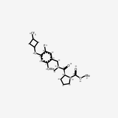 COc1nc(OC2CC(C(F)(F)F)C2)c(F)cc1CN(C)C(=O)[C@@H]1CCCN1C(=O)OC(C)(C)C